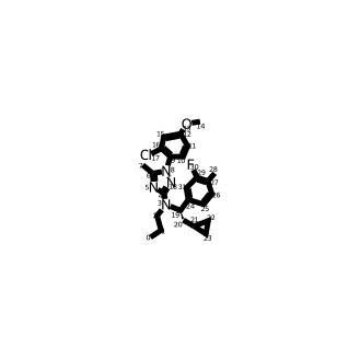 CCCN(c1nc(C)n(-c2ccc(OC)cc2Cl)n1)[C@@H](CC1CC1)c1ccc(C)c(F)c1